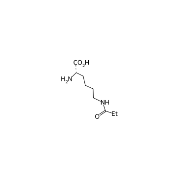 CCC(=O)NCCCC[C@H](N)C(=O)O